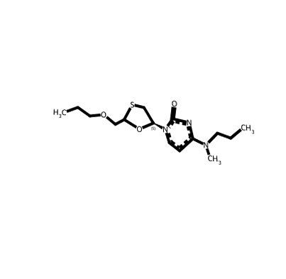 CCCOCC1O[C@H](n2ccc(N(C)CCC)nc2=O)CS1